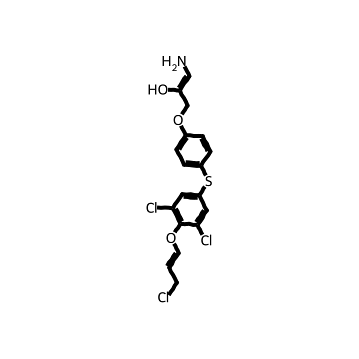 N/C=C(\O)COc1ccc(Sc2cc(Cl)c(O/C=C/CCl)c(Cl)c2)cc1